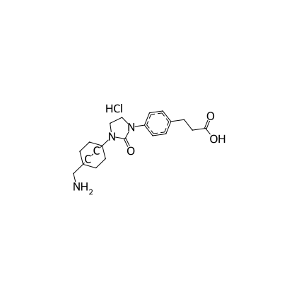 Cl.NCC12CCC(N3CCN(c4ccc(CCC(=O)O)cc4)C3=O)(CC1)CC2